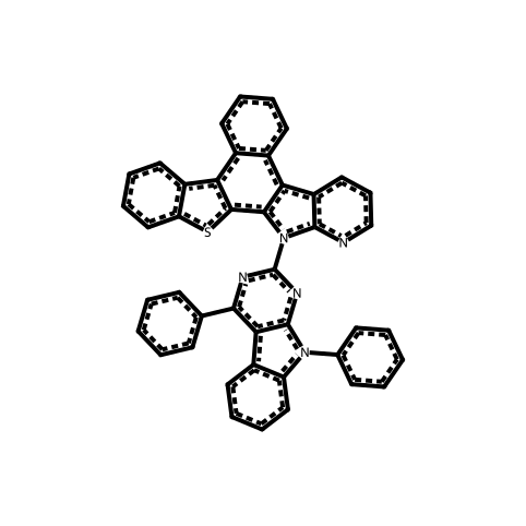 c1ccc(-c2nc(-n3c4ncccc4c4c5ccccc5c5c6ccccc6sc5c43)nc3c2c2ccccc2n3-c2ccccc2)cc1